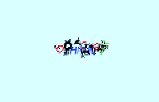 COc1ccc([C@@H]2C[C@H]2C(=O)N[C@H](C)c2cnc(OCC(F)(F)F)cn2)cc1C